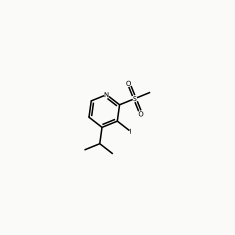 CC(C)c1ccnc(S(C)(=O)=O)c1I